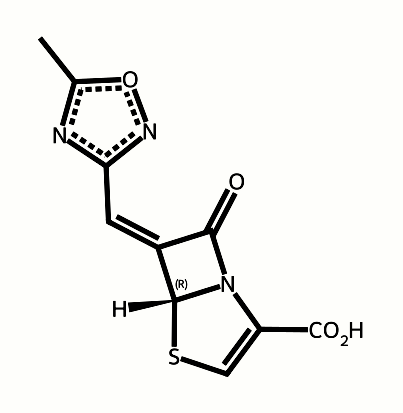 Cc1nc(C=C2C(=O)N3C(C(=O)O)=CS[C@H]23)no1